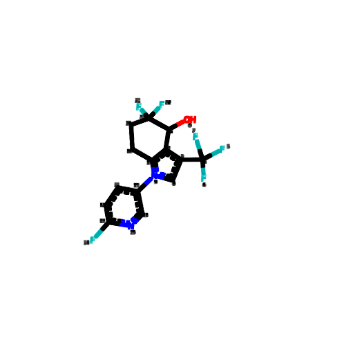 OC1c2c(C(F)(F)F)cn(-c3ccc(F)nc3)c2CCC1(F)F